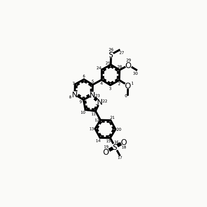 COc1cc(-c2ccnc3cc(-c4ccc(S(C)(=O)=O)cc4)nn23)cc(SC)c1OC